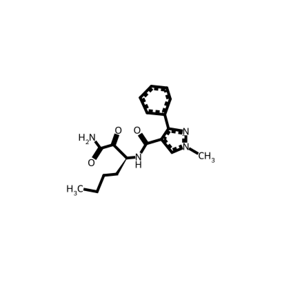 CCCC[C@H](NC(=O)c1cn(C)nc1-c1ccccc1)C(=O)C(N)=O